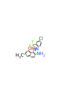 Cc1cc(O)c2c(/N=N/c3ccc(Cl)cc3C(F)(F)F)c(N)ccc2c1